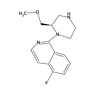 COC[C@H]1CNCCN1c1nccc2c(F)cccc12